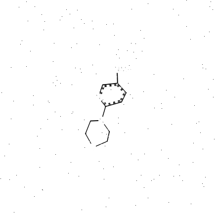 CNc1ccc(N2CCSCC2)nc1